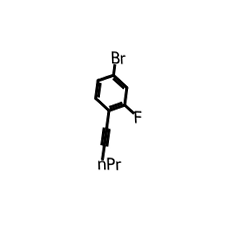 CCCC#Cc1ccc(Br)cc1F